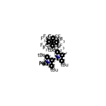 CC#N.Cc1cc(-c2ccc(C(C)(C)C)cc2)c(N2C(C)C2C)c(-c2ccc(C(C)(C)C)cc2)c1.Cc1cc(-c2ccc(C(C)(C)C)cc2)c(N2C(C)C2C)c(-c2ccc(C(C)(C)C)cc2)c1.FC(F)(F)c1cc([B-](c2cc(C(F)(F)F)cc(C(F)(F)F)c2)(c2cc(C(F)(F)F)cc(C(F)(F)F)c2)c2cc(C(F)(F)F)cc(C(F)(F)F)c2)cc(C(F)(F)F)c1.[CH3][Pd+]